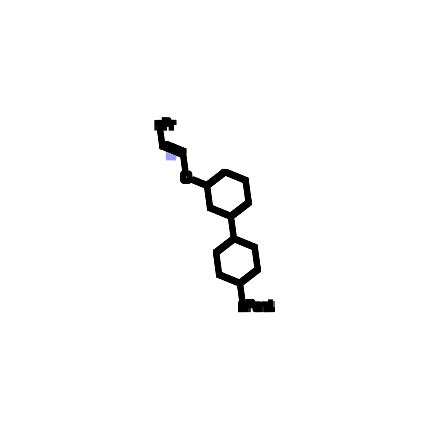 CCC/C=C/OC1CCCC(C2CCC(CCCCC)CC2)C1